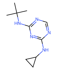 CC(C)(C)Nc1ncnc(NC2CC2)n1